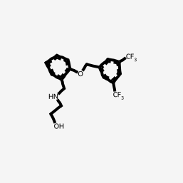 OCCNCc1ccccc1OCc1cc(C(F)(F)F)cc(C(F)(F)F)c1